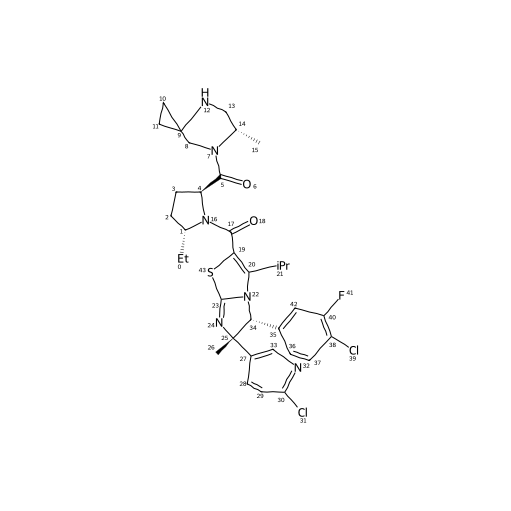 CC[C@@H]1CC[C@@H](C(=O)N2CC3(CC3)NC[C@@H]2C)N1C(=O)C1=C(C(C)C)N2C(=N[C@@](C)(c3ccc(Cl)nc3)[C@H]2c2ccc(Cl)c(F)c2)S1